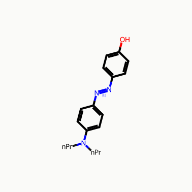 CCCN(CCC)c1ccc(/N=N/c2ccc(O)cc2)cc1